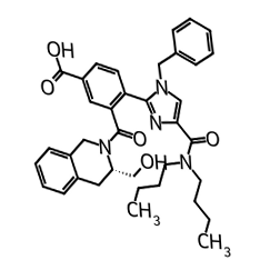 CCCCN(CCCC)C(=O)c1cn(Cc2ccccc2)c(-c2ccc(C(=O)O)cc2C(=O)N2Cc3ccccc3C[C@H]2CO)n1